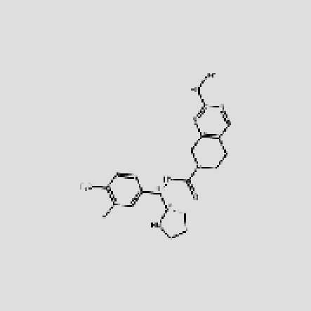 CC(C)Nc1ncc2c(n1)CN(C(=O)N[C@@H](c1ccc(C(F)(F)F)c(F)c1)[C@@H]1CCCN1)CC2